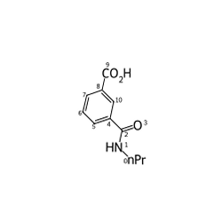 CCCNC(=O)c1cccc(C(=O)O)c1